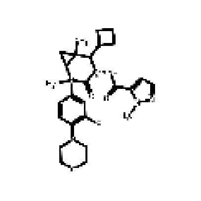 Cn1nccc1C(=O)N[C@@H]1C(=O)[N+](C)(c2ccc(N3CCOCC3)c(F)c2)C2CC2(C)C1C1CCC1